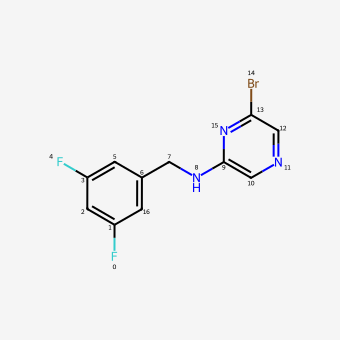 Fc1cc(F)cc(CNc2cncc(Br)n2)c1